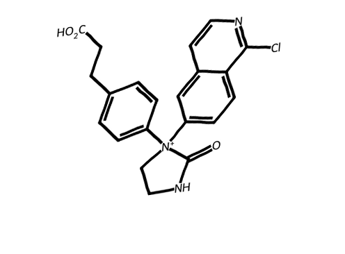 O=C(O)CCc1ccc([N+]2(c3ccc4c(Cl)nccc4c3)CCNC2=O)cc1